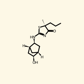 CCC[C@]1(C)SC(N[C@H]2C[C@H]3C[C@@H]2C[C@@H]3O)=NC1=O